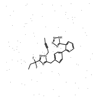 CC#CCn1nc(C(F)(F)CC)nc1Cc1ccc(-c2ccccc2-c2nnn[nH]2)cc1